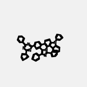 c1ccc(-c2nc(-c3ccccc3)nc(-c3ccc4c(c3)c3c(-c5ccccc5)nc(-c5ccccc5)n3c3c4ccc4c3c3ccccc3n4-c3ccccc3)n2)cc1